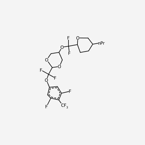 CCCC1CCC(C(F)(F)OC2COC(C(F)(F)Oc3cc(F)c(C(F)(F)F)c(F)c3)OC2)OC1